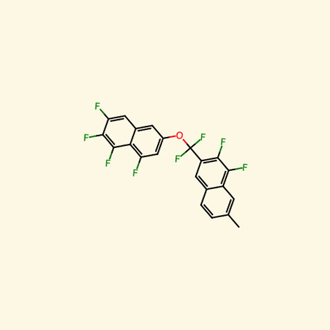 Cc1ccc2cc(C(F)(F)Oc3cc(F)c4c(F)c(F)c(F)cc4c3)c(F)c(F)c2c1